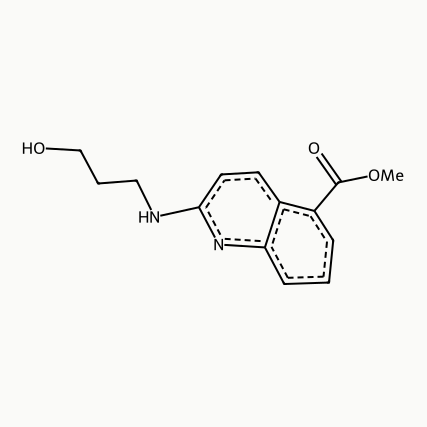 COC(=O)c1cccc2nc(NCCCO)ccc12